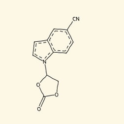 N#Cc1ccc2c(ccn2C2COC(=O)O2)c1